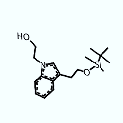 CC(C)(C)[Si](C)(C)OCCc1cn(CCO)c2ccccc12